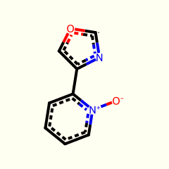 [O-][n+]1ccccc1-c1co[c]n1